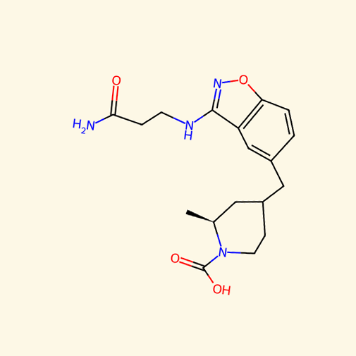 C[C@H]1CC(Cc2ccc3onc(NCCC(N)=O)c3c2)CCN1C(=O)O